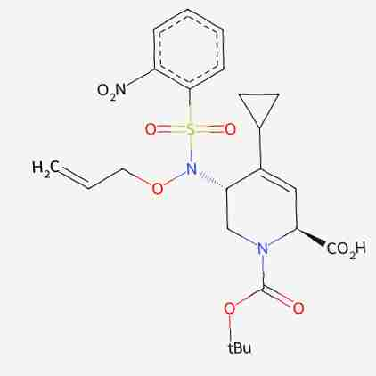 C=CCON([C@H]1CN(C(=O)OC(C)(C)C)[C@H](C(=O)O)C=C1C1CC1)S(=O)(=O)c1ccccc1[N+](=O)[O-]